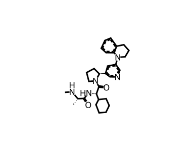 CN[C@@H](C)C(=O)N[C@H](C(=O)N1CCC[C@H]1c1cncc(N2CCCc3ccccc32)c1)C1CCCCC1